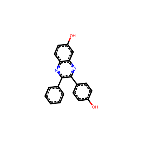 Oc1ccc(-c2nc3cc(O)ccc3nc2-c2ccccc2)cc1